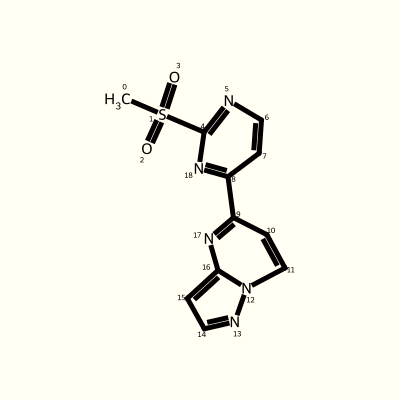 CS(=O)(=O)c1nccc(-c2ccn3nccc3n2)n1